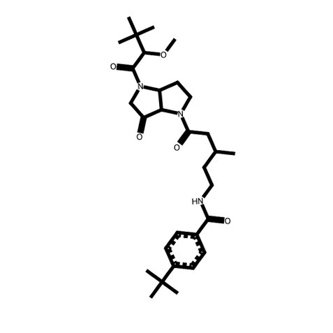 COC(C(=O)N1CC(=O)C2C1CCN2C(=O)CC(C)CCNC(=O)c1ccc(C(C)(C)C)cc1)C(C)(C)C